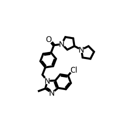 Cc1nc2ccc(Cl)cc2n1Cc1ccc(C(=O)N2CCC(N3CCCC3)C2)cc1